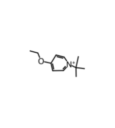 CCOc1cc[n+](C(C)(C)C)cc1